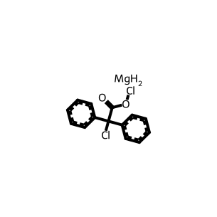 O=C(OCl)C(Cl)(c1ccccc1)c1ccccc1.[MgH2]